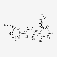 COC(=O)C[C@@H](N)c1ccc(-c2c(F)cccc2OC2CC2)cc1